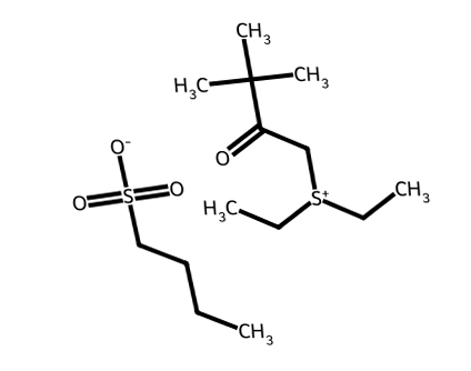 CCCCS(=O)(=O)[O-].CC[S+](CC)CC(=O)C(C)(C)C